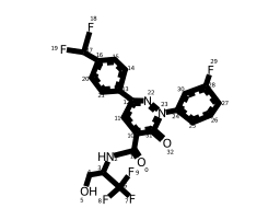 O=C(NC(CO)C(F)(F)F)c1cc(-c2ccc(C(F)F)cc2)nn(-c2cccc(F)c2)c1=O